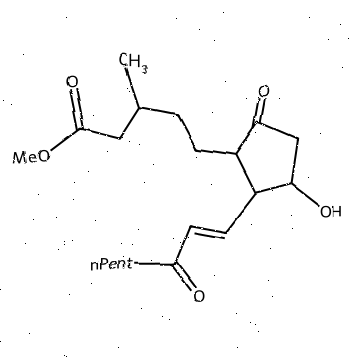 CCCCCC(=O)C=CC1C(O)CC(=O)C1CCC(C)CC(=O)OC